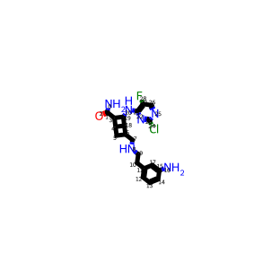 NC(=O)C1C2CC(CNCCc3cccc(N)c3)C2C1Nc1nc(Cl)ncc1F